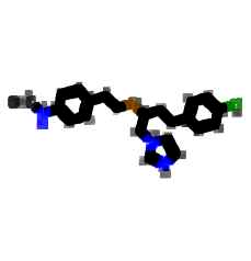 O=CNc1ccc(CCSC(CCc2ccc(Cl)cc2)Cn2ccnc2)cc1